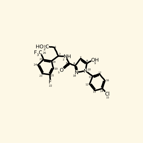 O=C(O)CC(NC(=O)c1cc(O)n(-c2ccc(Cl)cc2)n1)c1cc(F)ccc1C(F)(F)F